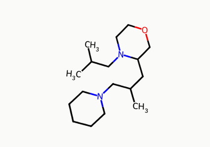 CC(C)CN1CCOCC1CC(C)CN1CCCCC1